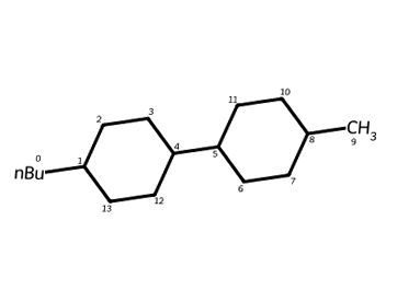 CCCCC1CCC(C2CCC(C)CC2)CC1